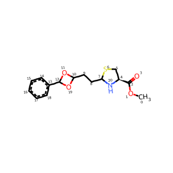 COC(=O)[C@@H]1CSC(CCC2OC(c3ccccc3)O2)N1